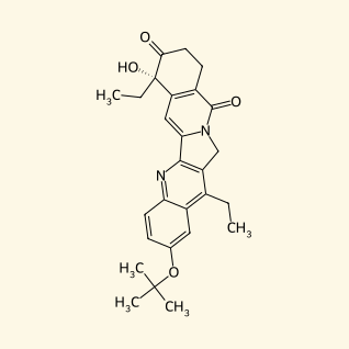 CCc1c2c(nc3ccc(OC(C)(C)C)cc13)-c1cc3c(c(=O)n1C2)CCC(=O)[C@]3(O)CC